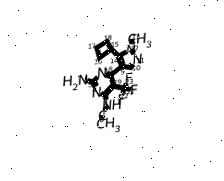 CCNc1nc(N)nc(-c2cnn(C)c2C2CCC2)c1C(F)(F)F